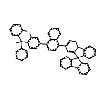 CC1(c2ccccc2)c2ccccc2Oc2cc(-c3ccc(C4=CCC5C(=C4)C4(c6ccccc6-c6ccccc64)c4ccccc45)c4ccccc34)ccc21